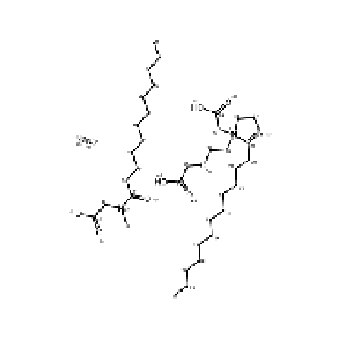 CCCCCCCCCCCC(=O)N(C)CC(=O)[O-].CCCCCCCCCCCCC1=NCC[N+]1(CCOCC(=O)O)CC(=O)O.[Na].[Na]